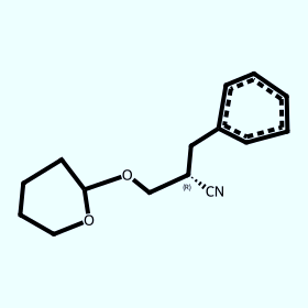 N#C[C@H](COC1CCCCO1)Cc1ccccc1